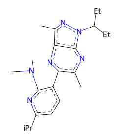 CCC(CC)n1nc(C)c2nc(-c3ccc(C(C)C)nc3N(C)C)c(C)nc21